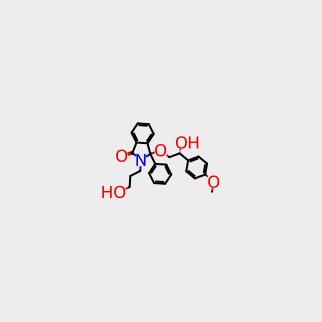 COc1ccc([C@@H](O)COC2(c3ccccc3)c3ccccc3C(=O)N2CCCO)cc1